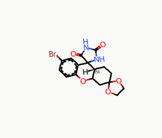 O=C1NC(=O)C2(N1)c1cc(Br)ccc1OC1CC3(CC[C@H]12)OCCO3